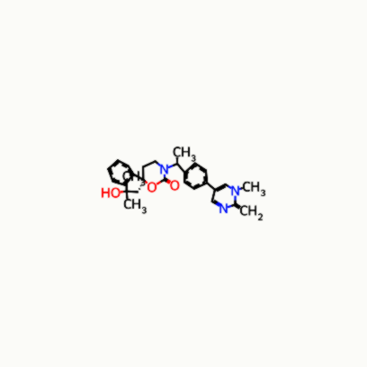 C=C1N=CC(c2ccc([C@H](C)N3CC[C@](CC(C)(C)O)(c4ccccc4)OC3=O)cc2)=CN1C